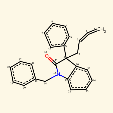 C=C=CCC1(c2ccccc2)C(=O)N(Cc2ccccc2)c2ccccc21